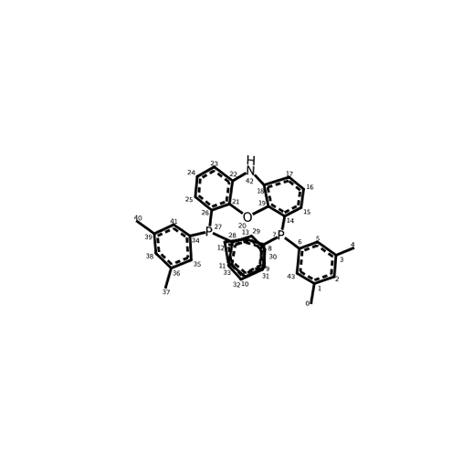 Cc1cc(C)cc(P(c2ccccc2)c2cccc3c2Oc2c(cccc2P(c2ccccc2)c2cc(C)cc(C)c2)N3)c1